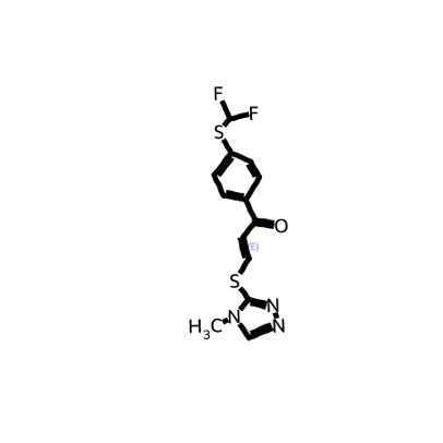 Cn1cnnc1S/C=C/C(=O)c1ccc(SC(F)F)cc1